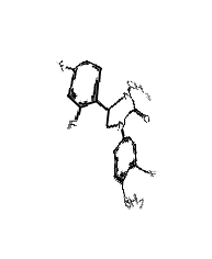 Bc1ccc(N2CC(c3ccc(F)cc3F)N(C)C2=O)cc1F